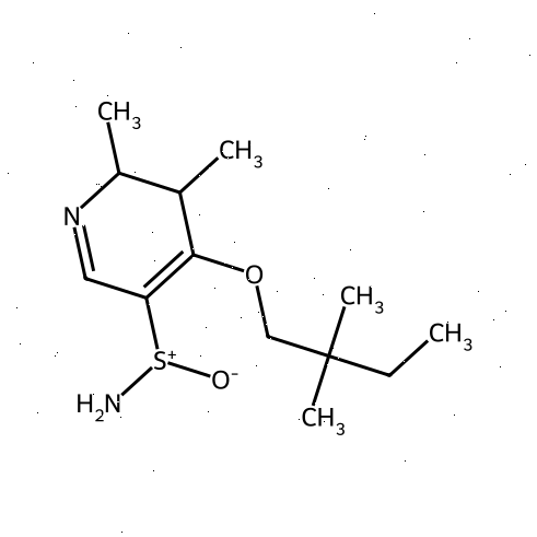 CCC(C)(C)COC1=C([S+](N)[O-])C=NC(C)C1C